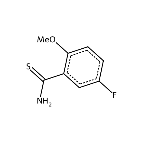 COc1ccc(F)cc1C(N)=S